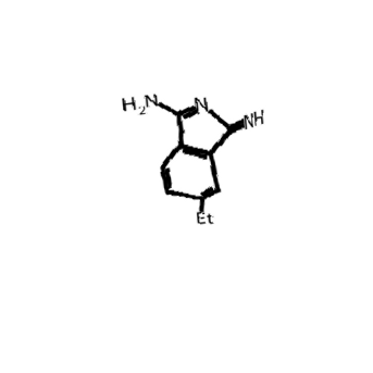 CCc1ccc2c(c1)C(=N)N=C2N